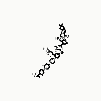 C[C@@H]1CC(N2CCN(c3ccc(Nc4nc(-c5ccnc(N6CCn7c(cc8c7CC(C)(C)C8)C6=O)c5CO)cn(C)c4=O)cc3C=CC(N)=O)[C@@H](C)C2)CCN1c1ccc(C(C)(C)C(F)(F)F)nc1